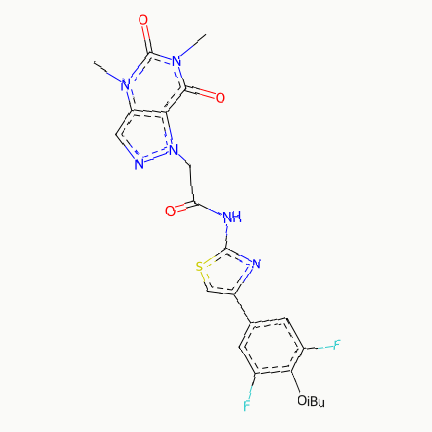 CC(C)COc1c(F)cc(-c2csc(NC(=O)Cn3ncc4c3c(=O)n(C)c(=O)n4C)n2)cc1F